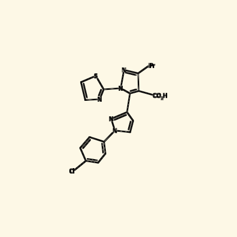 CC(C)c1nn(-c2nccs2)c(-c2ccn(-c3ccc(Cl)cc3)n2)c1C(=O)O